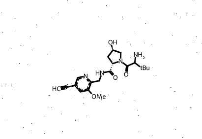 C#Cc1cnc(CNC(=O)[C@@H]2C[C@@H](O)CN2C(=O)C(N)C(C)(C)C)c(OC)c1